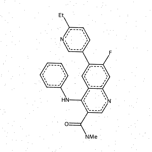 CCc1ccc(-c2cc3c(Nc4ccccc4)c(C(=O)NC)cnc3cc2F)cn1